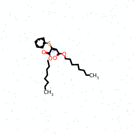 CCCCCCCCOC(=O)/C=C(/Sc1ccccc1)C(=O)OCCCCCCCC